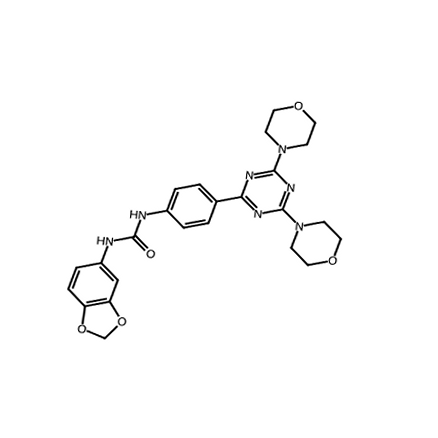 O=C(Nc1ccc(-c2nc(N3CCOCC3)nc(N3CCOCC3)n2)cc1)Nc1ccc2c(c1)OCO2